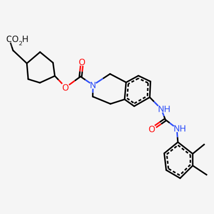 Cc1cccc(NC(=O)Nc2ccc3c(c2)CCN(C(=O)OC2CCC(CC(=O)O)CC2)C3)c1C